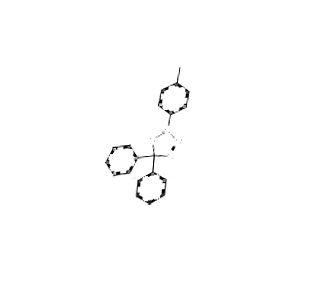 Cc1ccc(N2N=NC(c3ccccc3)(c3ccccc3)N2)cc1